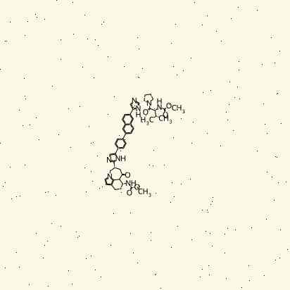 COC(=O)N[C@H]1CCc2ccn3c2C1C(=O)C[C@H](c1ncc(-c2ccc(-c4ccc5cc(-c6cnc([C@@H]7CCCN7C(=O)[C@@H](NC(=O)OC)C(C)C)[nH]6)ccc5c4)cc2)[nH]1)C3